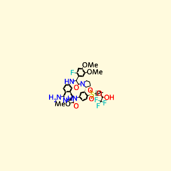 COC(=O)Nc1ccc(S(=O)(=O)C(C)C)c([C@H]2CCCN2C(=O)[C@@H](Nc2ccc3c(N)nccc3c2)c2cc(OC)c(OC)cc2F)c1.O=C(O)C(F)(F)F